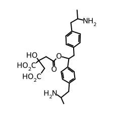 CC(N)Cc1ccc(CC(OC(=O)CC(O)(CC(=O)O)C(=O)O)c2ccc(CC(C)N)cc2)cc1